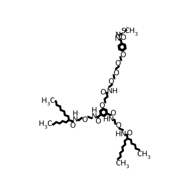 CCCCCCCCC(CCCCCC)C(=O)NCCOCCNC(=O)c1cc(OCCCC(=O)NCCOCCOCCOCCOc2ccc(-c3nnc(SC)o3)cc2)cc(C(=O)NCCOCCNC(=O)C(CCCCCC)CCCCCCCC)c1